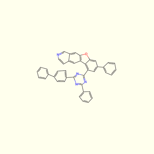 c1ccc(-c2ccc(-c3nc(-c4ccccc4)nc(-c4cc(-c5ccccc5)cc5oc6cc7cnccc7cc6c45)n3)cc2)cc1